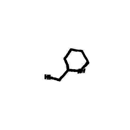 SCC1CCCCN1